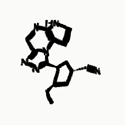 CC[C@@H]1C[C@@H](C#N)C[C@@H]1c1nnc2cnc3[nH]ccc3n12